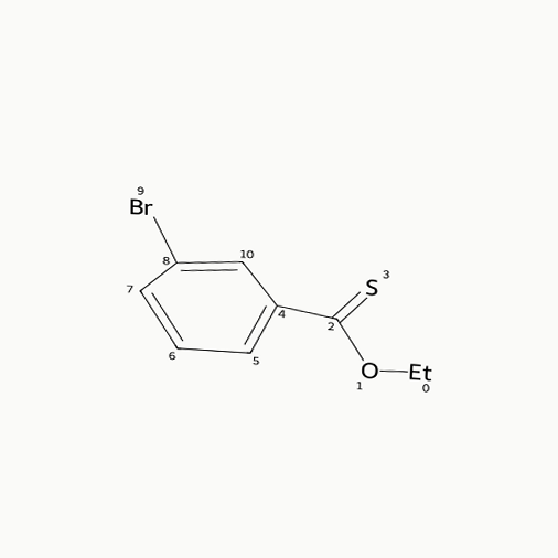 CCOC(=S)c1cccc(Br)c1